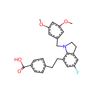 COc1cc(CN2CCc3cc(F)cc(CCc4ccc(C(=O)O)cc4)c32)cc(OC)c1